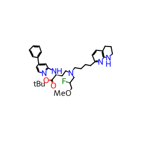 COC[C@@H](F)CN(CCCCc1ccc2c(n1)NCCC2)CC[C@H](Nc1cc(-c2ccccc2)ccn1)C(=O)OC(C)(C)C